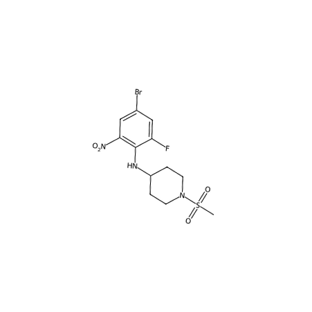 CS(=O)(=O)N1CCC(Nc2c(F)cc(Br)cc2[N+](=O)[O-])CC1